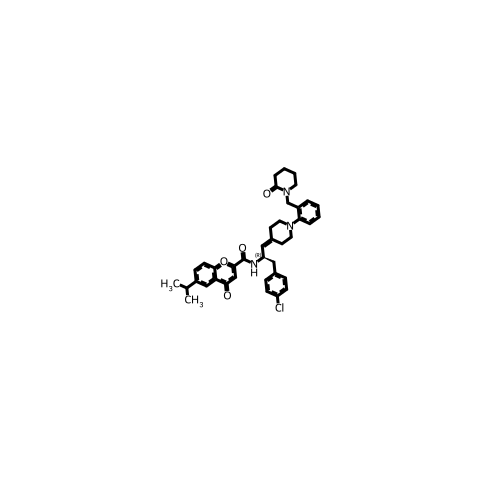 CC(C)c1ccc2oc(C(=O)N[C@@H](C=C3CCN(c4ccccc4CN4CCCCC4=O)CC3)Cc3ccc(Cl)cc3)cc(=O)c2c1